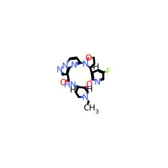 CCN1CC[C@H]2NC(=O)c3cnn4ccc(nc34)N3OCC[C@H]3c3cc(F)cnc3O[C@H]2C1